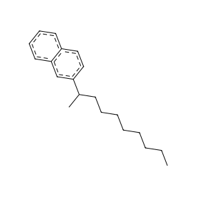 CCCCCCCCC(C)c1ccc2ccccc2c1